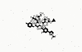 COC(=O)N[C@H](C(=O)N[C@@H](Cc1ccc(I)cc1)[C@@H](O)CN(Cc1c(F)cc(-c2ccn(C(F)F)n2)cc1F)NC(=O)[C@@H](NC(=O)OC1CC1)C(C)(C)C)C(C)(C)C(F)(F)F